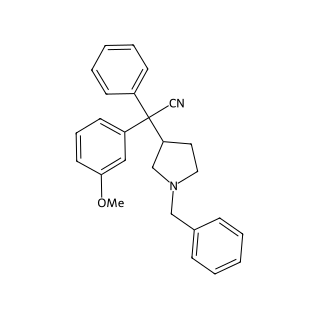 COc1cccc(C(C#N)(c2ccccc2)C2CCN(Cc3ccccc3)C2)c1